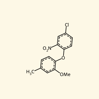 COc1cc(C)ccc1Oc1ccc(Cl)cc1[N+](=O)[O-]